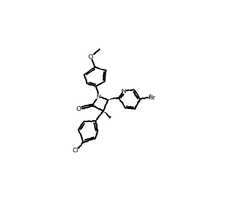 COc1ccc(N2C(=O)[C@@](C)(c3ccc(Cl)cc3)[C@@H]2c2ccc(Br)cn2)cc1